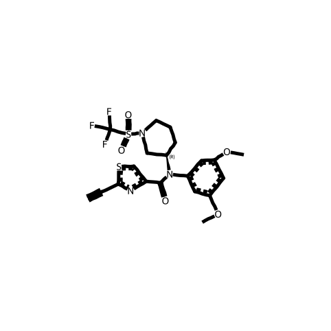 C#Cc1nc(C(=O)N(c2cc(OC)cc(OC)c2)[C@@H]2CCCN(S(=O)(=O)C(F)(F)F)C2)cs1